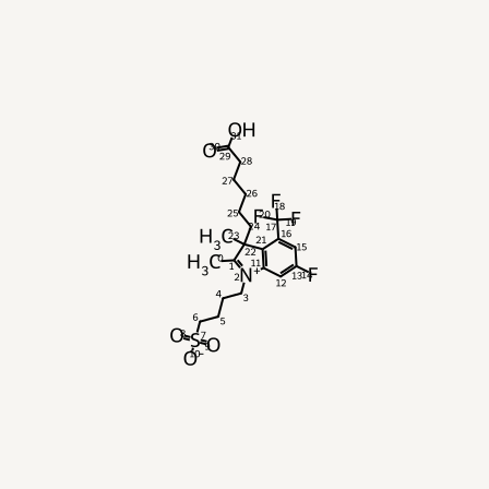 CC1=[N+](CCCCS(=O)(=O)[O-])c2cc(F)cc(C(F)(F)F)c2C1(C)CCCCCC(=O)O